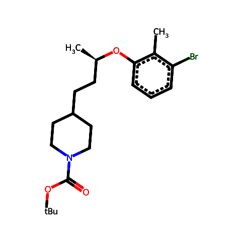 Cc1c(Br)cccc1O[C@H](C)CCC1CCN(C(=O)OC(C)(C)C)CC1